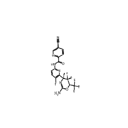 C[C@]1(c2nc(NC(=O)c3ccc(C#N)cn3)ccc2F)N=C(N)O[C@H](C(F)(F)F)C1(F)F